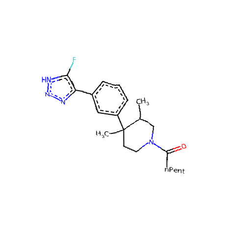 CCCCCC(=O)N1CCC(C)(c2cccc(-c3nn[nH]c3F)c2)C(C)C1